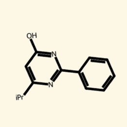 CC(C)c1cc(O)nc(-c2ccccc2)n1